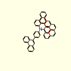 c1ccc(-c2ccccc2N(c2ccc(-c3cc4ccccc4c4ccccc34)cc2)c2cccc(-c3ccccc3-c3ccc4c(ccc5ccc6ccccc6c54)c3)c2)cc1